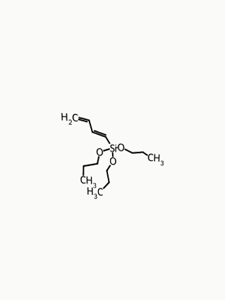 C=CC=C[Si](OCCC)(OCCC)OCCC